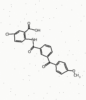 COc1ccc(C(=O)c2cccc(C(=O)Nc3ccc(Cl)cc3C(=O)O)c2)cc1